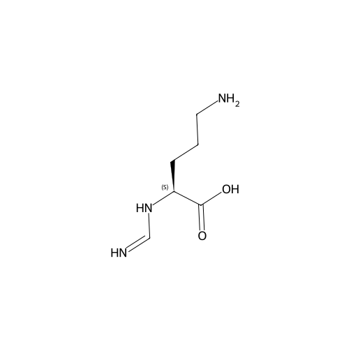 N=CN[C@@H](CCCN)C(=O)O